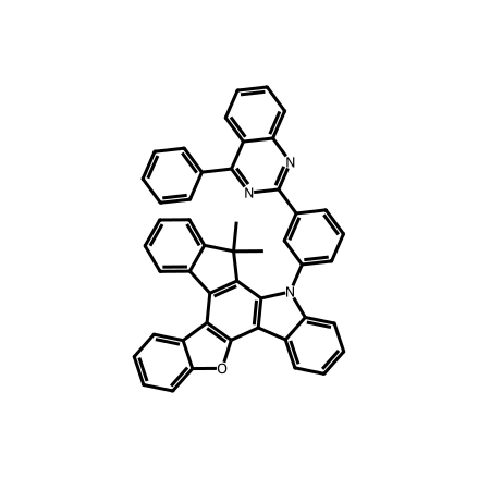 CC1(C)c2ccccc2-c2c1c1c(c3ccccc3n1-c1cccc(-c3nc(-c4ccccc4)c4ccccc4n3)c1)c1oc3ccccc3c21